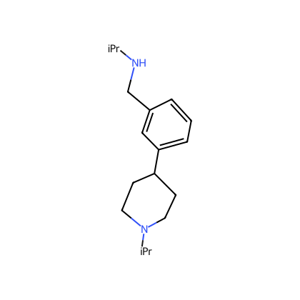 CC(C)NCc1cccc(C2CCN(C(C)C)CC2)c1